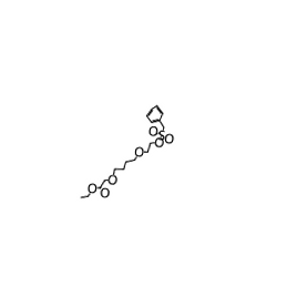 CCOC(=O)COCCCCOCCOS(=O)(=O)Cc1ccccc1